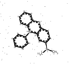 CN(C)c1ccc2nc3ccccc3[n+](-c3ccccc3)c2c1